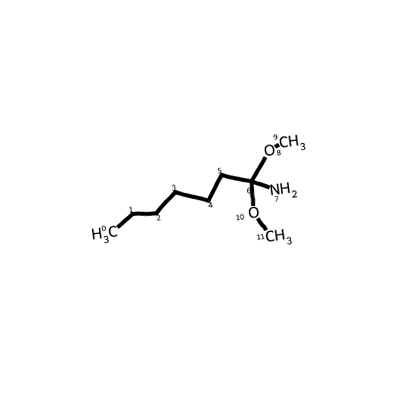 CCCCCCC(N)(OC)OC